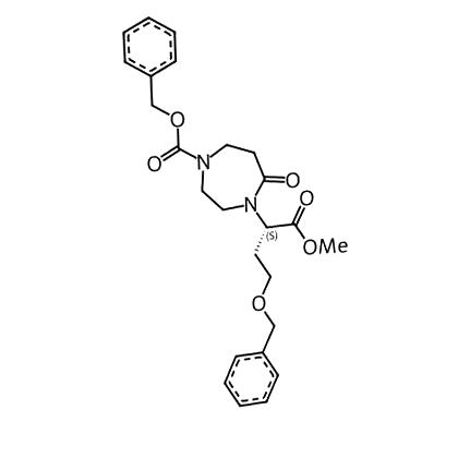 COC(=O)[C@H](CCOCc1ccccc1)N1CCN(C(=O)OCc2ccccc2)CCC1=O